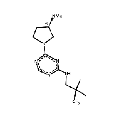 CN[C@@H]1CCN(c2ncnc(NCC(C)(C)C(F)(F)F)n2)C1